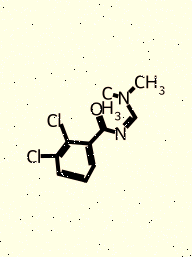 CN(C)/C=N\C(=O)c1cccc(Cl)c1Cl